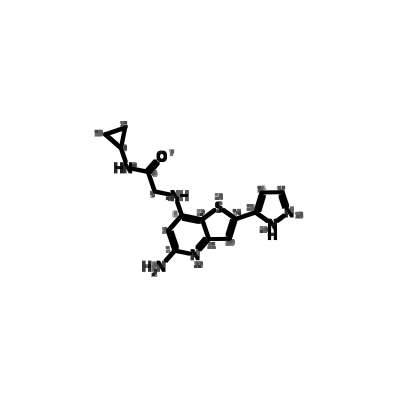 Nc1cc(NCC(=O)NC2CC2)c2sc(-c3ccn[nH]3)cc2n1